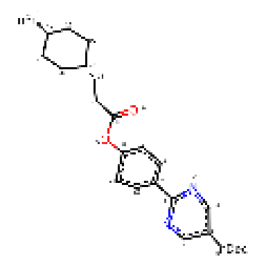 CCCCCCCCCCc1cnc(-c2ccc(OC(=O)CC[C@H]3CC[C@H](CCC)CC3)cc2)nc1